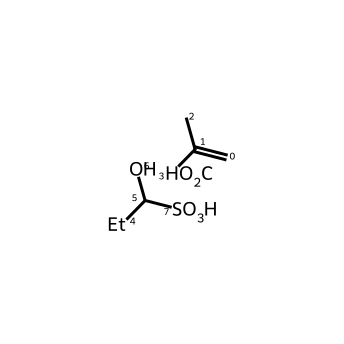 C=C(C)C(=O)O.CCC(O)S(=O)(=O)O